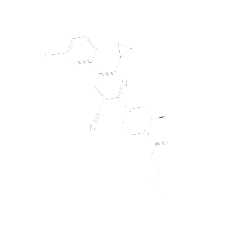 COCCC(=O)N1CCN(c2nc(C3CC3)c(-c3ccc(F)c(Cl)c3)cc2C#N)C[C@H]1C